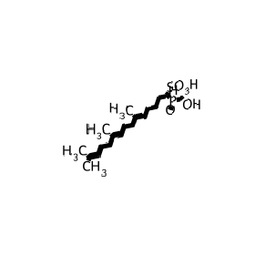 CC(C)=CCC/C(C)=C/CC/C(C)=C/CCCC([PH](=O)CO)S(=O)(=O)O